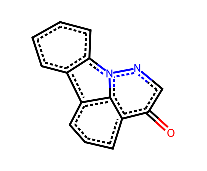 O=c1cnn2c3ccccc3c3cccc1c32